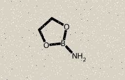 NB1OCCO1